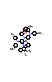 CC(C)(C)c1ccc(N(c2ccc(C(C)(C)C)cc2)c2ccc3c(c2)N(c2cccc4c2oc2cc(C(C)(C)C)ccc24)c2cc(N(c4ccc(C(C)(C)C)cc4)c4ccc(C(C)(C)C)cc4)cc4c2B3c2cccc3c5c(n-4c23)-c2ccccc2C5(C)C)cc1